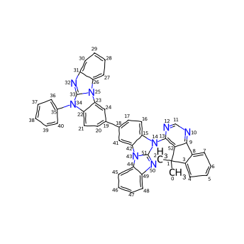 CC1(C)c2ccccc2-c2ncnc(-n3c4ccc(-c5ccc6c(c5)n5c7ccccc7nc5n6-c5ccccc5)cc4n4c5ccccc5nc34)c21